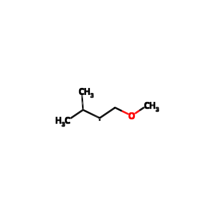 COC[CH]C(C)C